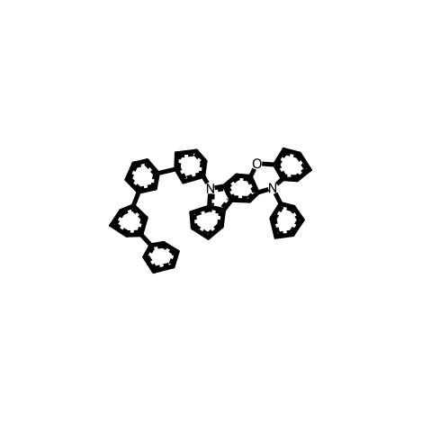 c1ccc(-c2cccc(-c3cccc(-c4cccc(-n5c6ccccc6c6cc7c(cc65)Oc5ccccc5N7c5ccccc5)c4)c3)c2)cc1